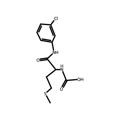 CSCCC(NC(=O)O)C(=O)Nc1cccc(Cl)c1